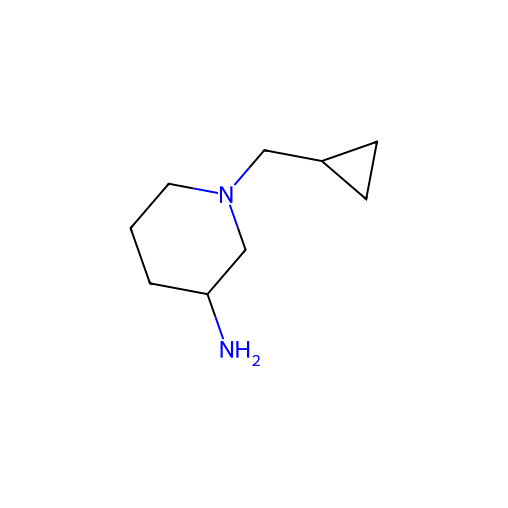 NC1CCCN(CC2CC2)C1